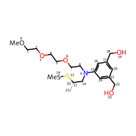 COCCOCCOCCN(C[C@H](C)SSC)c1cc(CO)cc(CO)c1